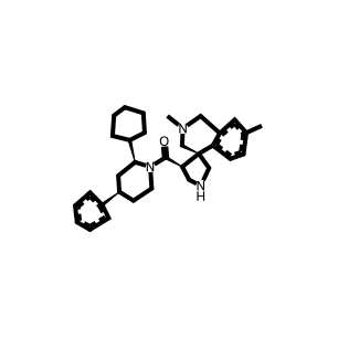 Cc1ccc2c(c1)CN(C)C[C@]21CNC[C@H]1C(=O)N1CC[C@@H](c2ccccc2)C[C@H]1C1CCCCC1